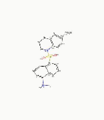 CN(C)c1cccc2c(S(=O)(=O)N3CCCc4cc(C(=O)O)ccc43)cccc12